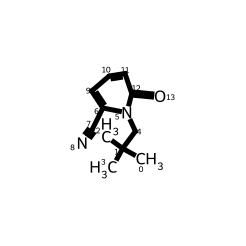 CC(C)(C)Cn1c(C#N)cccc1=O